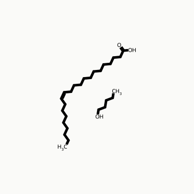 CCCCCCCC/C=C\CCCCCCCCCCCC(=O)O.CCCCCO